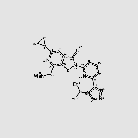 CCC(CC)n1cnnc1-c1cccc(N2Cc3c(cc(C4CC4)nc3CNC)C2=O)n1